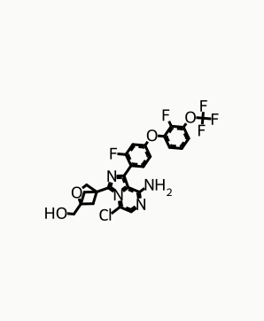 Nc1ncc(Cl)n2c(C34COC(CO)(C3)C4)nc(-c3ccc(Oc4cccc(OC(F)(F)F)c4F)cc3F)c12